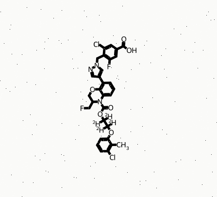 [2H]C([2H])(OC(=O)N1c2cccc(-c3cnn(Cc4c(F)cc(C(=O)O)cc4Cl)c3)c2OCC1CF)C([2H])([2H])Oc1cccc(Cl)c1C